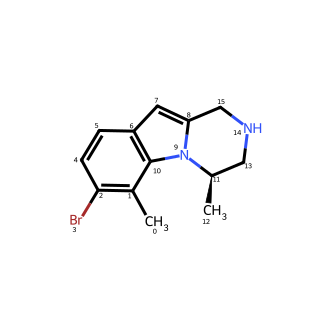 Cc1c(Br)ccc2cc3n(c12)[C@H](C)CNC3